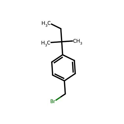 CCC(C)(C)c1ccc(CBr)cc1